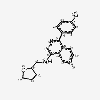 Clc1ccc(-c2nnc(NCC3CCCO3)c3cnccc23)cc1